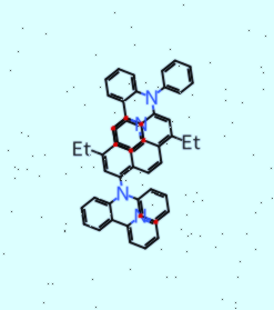 CCc1cc(N(c2ccccc2)c2ccccc2-c2ccccn2)c2ccc3c(CC)cc(N(c4ccccc4)c4ccccc4-c4ccccn4)c4ccc1c2c34